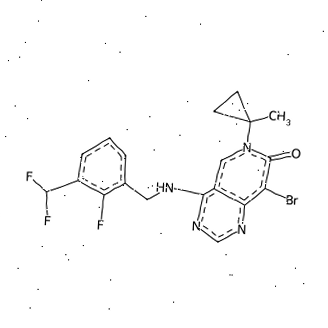 CC1(n2cc3c(NCc4cccc(C(F)F)c4F)ncnc3c(Br)c2=O)CC1